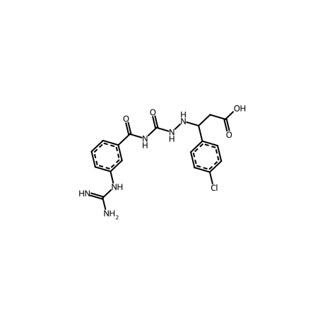 N=C(N)Nc1cccc(C(=O)NC(=O)NNC(CC(=O)O)c2ccc(Cl)cc2)c1